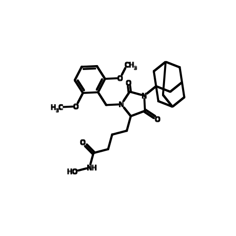 COc1cccc(OC)c1CN1C(=O)N(C23CC4CC(CC(C4)C2)C3)C(=O)C1CCCC(=O)NO